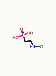 O=P(O)(O)CCNCl